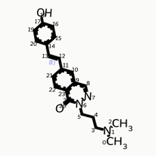 CN(C)CCCn1ncc2cc(/C=C/c3ccc(O)cc3)ccc2c1=O